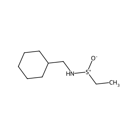 CC[S+]([O-])NCC1CCCCC1